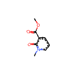 COC(=O)c1cccn(C)c1=O